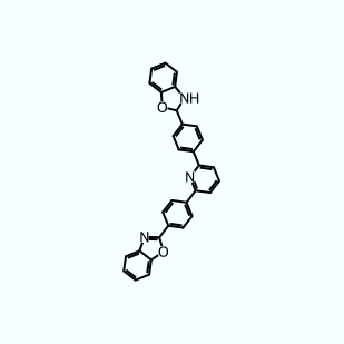 c1cc(-c2ccc(-c3nc4ccccc4o3)cc2)nc(-c2ccc(C3Nc4ccccc4O3)cc2)c1